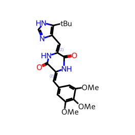 COc1cc(/C=c2\[nH]c(=O)/c(=C/c3nc[nH]c3C(C)(C)C)[nH]c2=O)cc(OC)c1OC